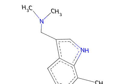 Cc1cccc2c(CN(C)C)c[nH]c12